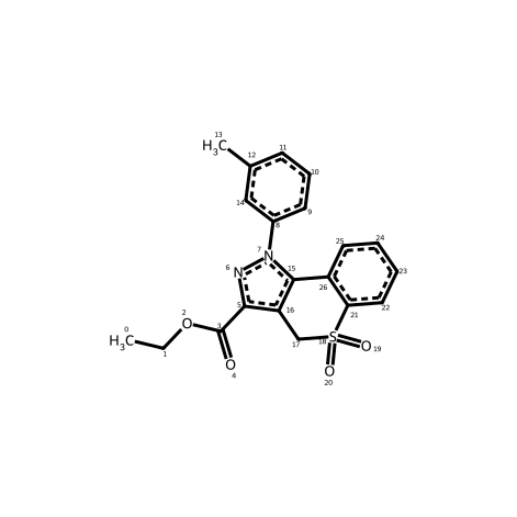 CCOC(=O)c1nn(-c2cccc(C)c2)c2c1CS(=O)(=O)c1ccccc1-2